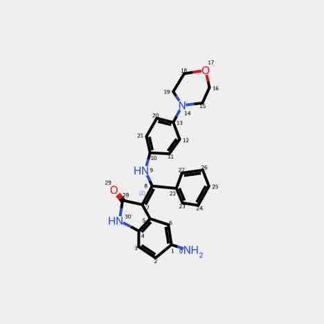 Nc1ccc2c(c1)/C(=C(/Nc1ccc(N3CCOCC3)cc1)c1ccccc1)C(=O)N2